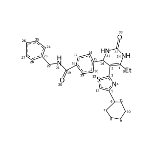 CCC1=C(c2nc(C3CCCCC3)cs2)C(c2ccc(C(=O)NCc3ccccc3)cc2)NC(=O)N1